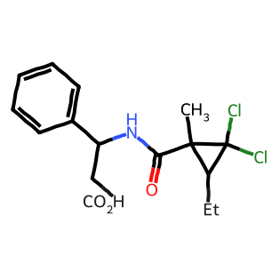 CCC1C(Cl)(Cl)C1(C)C(=O)NC(CC(=O)O)c1ccccc1